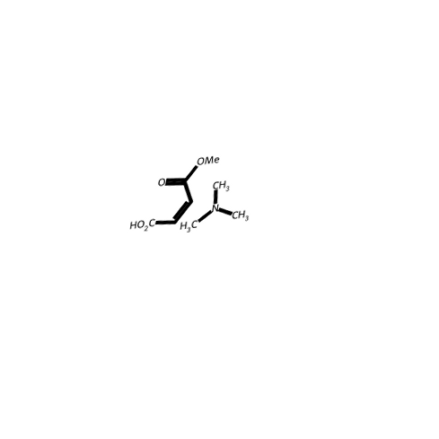 CN(C)C.COC(=O)/C=C\C(=O)O